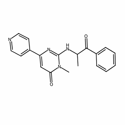 CC(Nc1nc(-c2ccncc2)cc(=O)n1C)C(=O)c1ccccc1